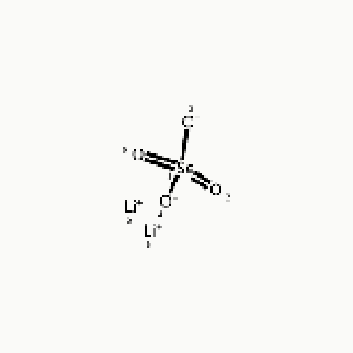 O=[Se](=O)([O-])[O-].[Li+].[Li+]